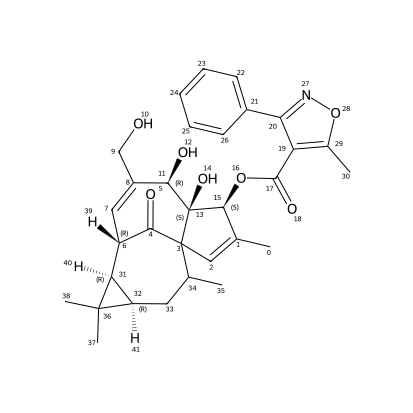 CC1=CC23C(=O)[C@@H](C=C(CO)[C@@H](O)[C@]2(O)[C@H]1OC(=O)c1c(-c2ccccc2)noc1C)[C@H]1[C@@H](CC3C)C1(C)C